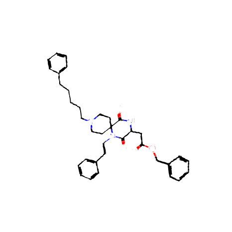 O=C(CC1NC(=O)C2(CCN(CCCCCc3ccccc3)CC2)N(CCc2ccccc2)C1=O)OCc1ccccc1